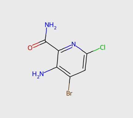 NC(=O)c1nc(Cl)cc(Br)c1N